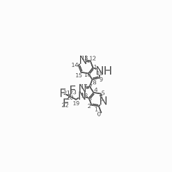 Cc1cc2c(cn1)c(-c1c[nH]c3cnccc13)nn2CC(F)(F)F